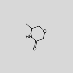 CC1COCC(=O)N1